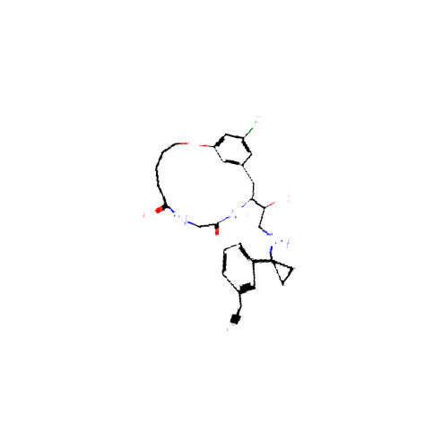 C#Cc1cccc(C2(NCC(O)C3Cc4cc(F)cc(c4)OCCCCC(=O)NCC(=O)N3)CC2)c1